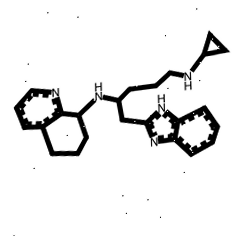 c1cnc2c(c1)CCCC2NC(CCCNC1CC1)Cc1nc2ccccc2[nH]1